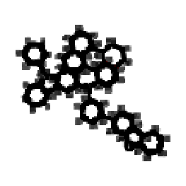 c1ccc(-n2c3ccccc3c3cc(N(c4cccc(-c5ccc6c(c5)oc5ccccc56)c4)c4ccccc4-c4cccc5cccc(C6CCCCC6)c45)ccc32)cc1